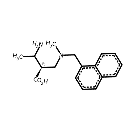 CC(N)[C@@H](CN(C)Cc1cccc2ccccc12)C(=O)O